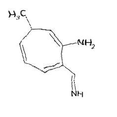 CC1C=CC=C(C=N)C(N)=C1